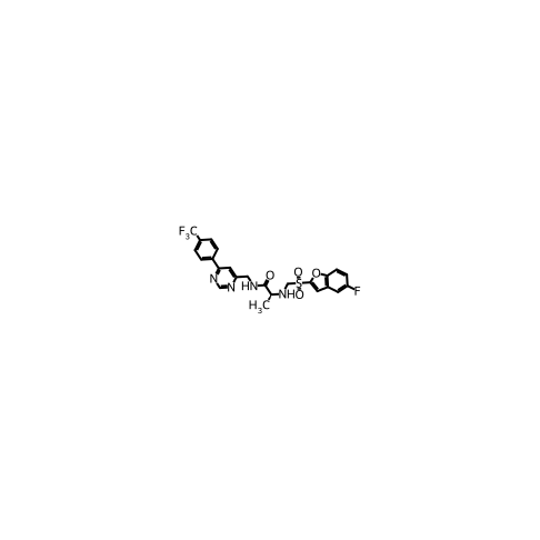 C[C@H](NCS(=O)(=O)c1cc2cc(F)ccc2o1)C(=O)NCc1cc(-c2ccc(C(F)(F)F)cc2)ncn1